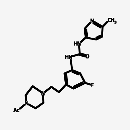 CC(=O)N1CCN(CCc2cc(F)cc(NC(=O)Nc3ccc(C)nc3)c2)CC1